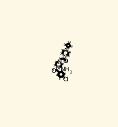 Nc1cc(Cl)ccc1C(=O)N1CCN(CC(=O)N2CCN(C3CCC3)CC2)CC1